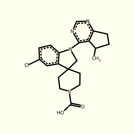 CC1CCc2ncnc(N3CC4(CCN(C(=O)O)CC4)c4cc(Cl)ccc43)c21